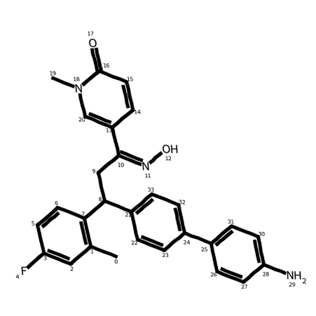 Cc1cc(F)ccc1C(CC(=NO)c1ccc(=O)n(C)c1)c1ccc(-c2ccc(N)cc2)cc1